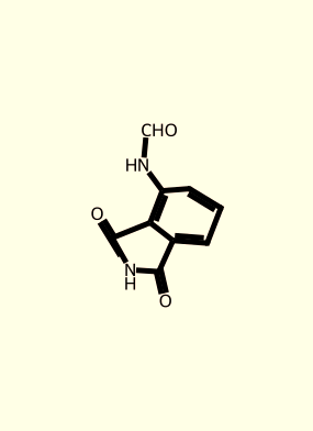 O=CNc1cccc2c1C(=O)NC2=O